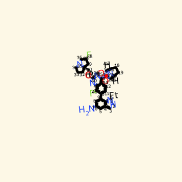 CCn1ncc2cc(N)cc(-c3ccc4c(N5C[C@H]6CC[C@@H](C5)N6C(=O)OC(C)(C)C)nc(OC[C@@]56CCCN5C[C@H](F)C6)nc4c3F)c21